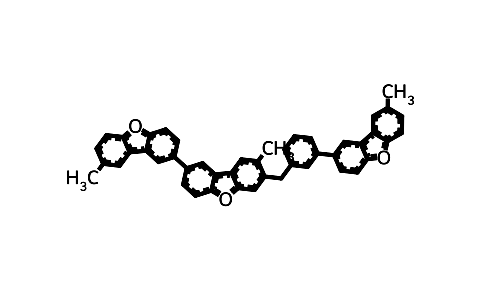 Cc1ccc2oc3ccc(-c4cccc(Cc5cc6oc7ccc(-c8ccc9oc%10ccc(C)cc%10c9c8)cc7c6cc5C)c4)cc3c2c1